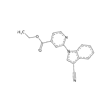 CCOC(=O)c1ccnc(-n2cc(C#N)c3ccccc32)c1